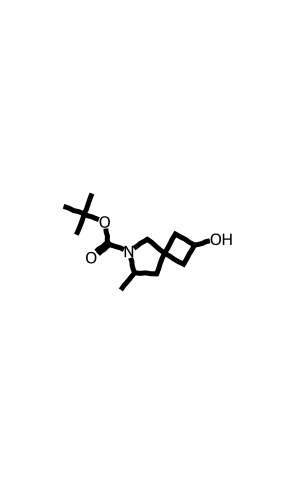 CC1CC2(CC(O)C2)CN1C(=O)OC(C)(C)C